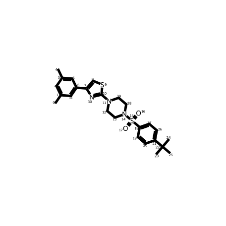 Cc1cc(C)cc(-c2csc(N3CCN(S(=O)(=O)c4ccc(C(C)(C)C)cc4)CC3)n2)c1